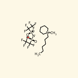 CCCCCC[N+]1(C)CCCCC1.O=S(=O)([N-]S(=O)(=O)C(F)(F)C(F)(F)F)C(F)(F)C(F)(F)F